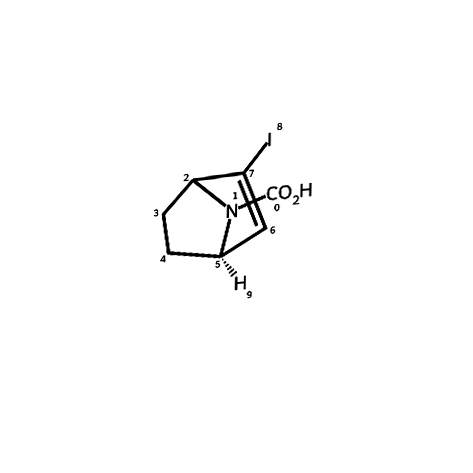 O=C(O)N1C2CC[C@@H]1C=C2I